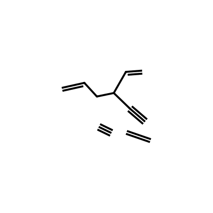 C#C.C#CC(C=C)CC=C.C=C